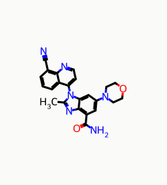 Cc1nc2c(C(N)=O)cc(N3CCOCC3)cc2n1-c1ccnc2c(C#N)cccc12